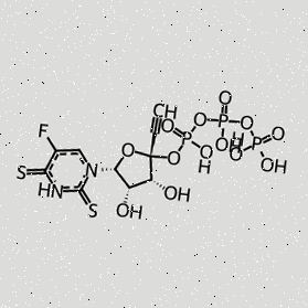 C#C[C@]1(OP(=O)(O)OP(=O)(O)OP(=O)(O)O)O[C@@H](n2cc(F)c(=S)[nH]c2=S)[C@@H](O)[C@H]1O